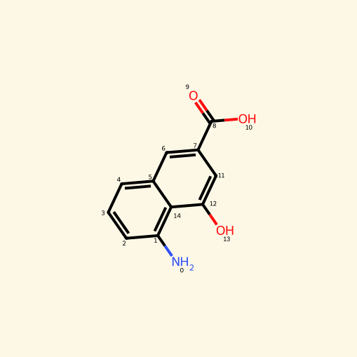 Nc1cccc2cc(C(=O)O)cc(O)c12